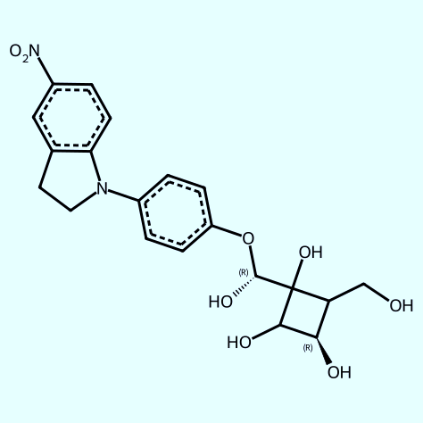 O=[N+]([O-])c1ccc2c(c1)CCN2c1ccc(O[C@@H](O)C2(O)C(O)[C@H](O)C2CO)cc1